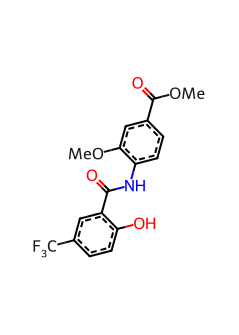 COC(=O)c1ccc(NC(=O)c2cc(C(F)(F)F)ccc2O)c(OC)c1